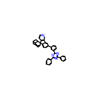 c1ccc(-c2nc(-c3ccccc3)nc(-c3cccc(-c4ccc5c(c4)-c4cnccc4C54C5CC6CC(C5)CC4C6)c3)n2)cc1